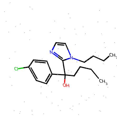 CCCCn1ccnc1C(O)(CCCC)c1ccc(Cl)cc1